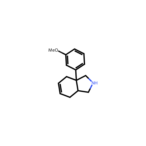 COc1cccc(C23CC=CCC2CNC3)c1